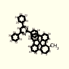 C[C@@H]1C=CC=CC2=C1c1cccc(-c3ccc(-c4nc(-c5ccccc5)cc(-c5ccccc5)n4)cc3)c1C21c2ccccc2-c2ccccc21